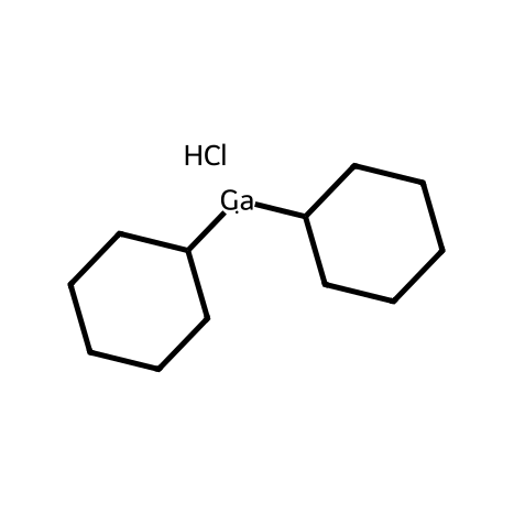 C1CC[CH]([Ga][CH]2CCCCC2)CC1.Cl